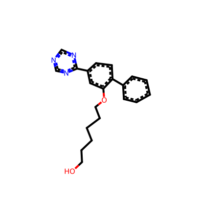 OCCCCCCOc1cc(-c2ncncn2)ccc1-c1ccccc1